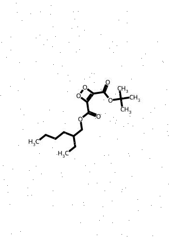 CCCCC(CC)COC(=O)c1ooc1C(=O)OC(C)(C)C